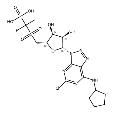 CC(F)(P(=O)(O)O)S(=O)(=O)C[C@H]1O[C@@H](n2nnc3c(NC4CCCC4)nc(Cl)nc32)[C@H](O)[C@@H]1O